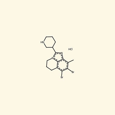 Cc1c(Br)c(Br)c2c3c1nc(C1CCCNC1)n3CCC2.Cl